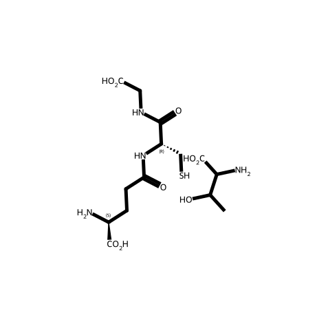 CC(O)C(N)C(=O)O.N[C@@H](CCC(=O)N[C@@H](CS)C(=O)NCC(=O)O)C(=O)O